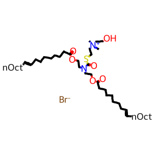 CCCCCCCCC=CCCCCCCCC(=O)OCCN(CCOC(=O)CCCCCCCC=CCCCCCCCC)C(=O)SCC[N+](C)(C)CCO.[Br-]